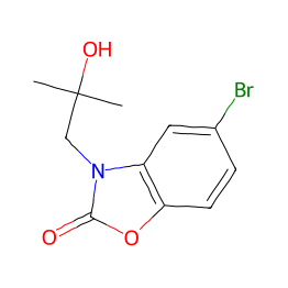 CC(C)(O)Cn1c(=O)oc2ccc(Br)cc21